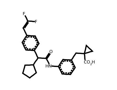 O=C(Nc1cccc(CC2(C(=O)O)CC2)c1)C(c1ccc(C=C(F)F)cc1)C1CCCC1